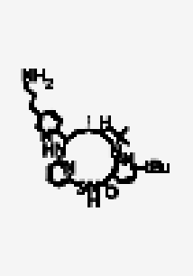 C[C@H]1CC(c2ccc(CCCN)cn2)Nc2cccc(n2)SNC(=O)c2ccc(C(C)(C)C)nc2N2C[C@@H]1CC2(C)C